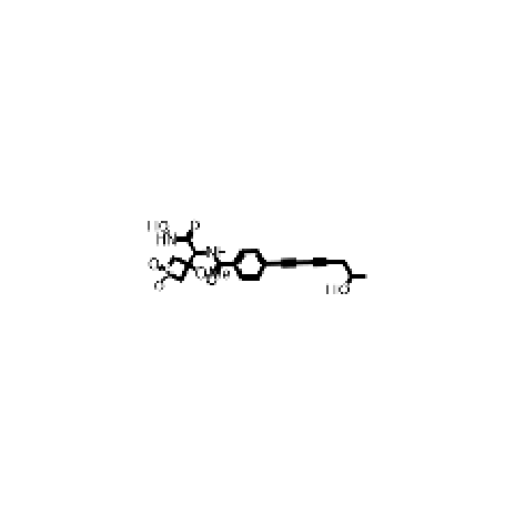 COC1(C(NC(=O)c2ccc(C#CC#CCC(C)O)cc2)C(=O)NO)CS(=O)(=O)C1